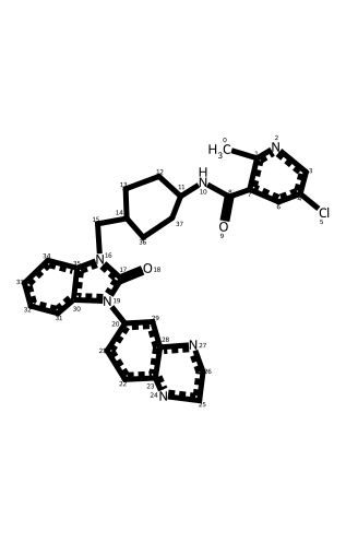 Cc1ncc(Cl)cc1C(=O)NC1CCC(Cn2c(=O)n(-c3ccc4nccnc4c3)c3ccccc32)CC1